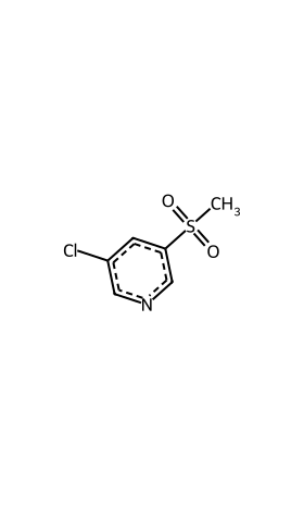 CS(=O)(=O)c1cncc(Cl)c1